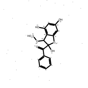 O=C(c1ccccc1)C1(O)Oc2cc(O)cc(O)c2C1OS(=O)(=O)O